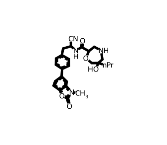 CCCC1(O)CNCC(C(=O)NC(C#N)Cc2ccc(-c3ccc4oc(=O)n(C)c4c3)cc2)OC1